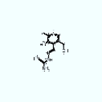 Cc1ncc(CO)c(C=NNC(=N)N)c1O